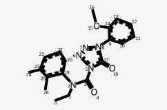 CCN(C(=O)n1nnn(-c2ccccc2OC)c1=O)c1cccc(C)c1C